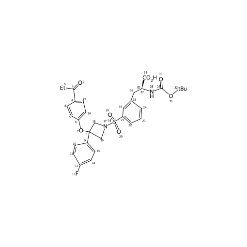 CCC(=O)c1ccc(OC2(c3ccc(F)cc3)CN(S(=O)(=O)c3cccc(C[C@H](NC(=O)OC(C)(C)C)C(=O)O)c3)C2)cc1